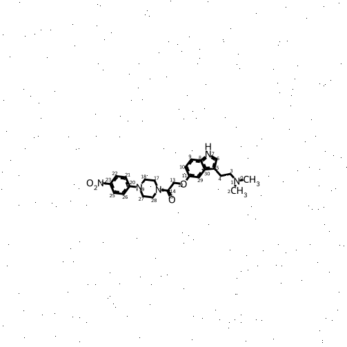 CN(C)CCc1c[nH]c2ccc(OCC(=O)N3CCN(c4ccc([N+](=O)[O-])cc4)CC3)cc12